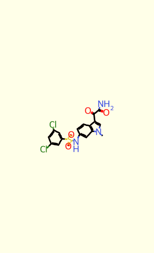 Cn1cc(C(=O)C(N)=O)c2ccc(NS(=O)(=O)c3cc(Cl)cc(Cl)c3)cc21